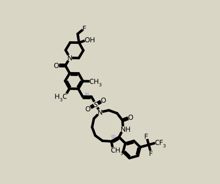 C/C1=C(\c2cccc(C(F)(F)C(F)(F)F)c2)NC(=O)CCN(S(=O)(=O)/C=C/c2c(C)cc(C(=O)N3CCC(O)(CF)CC3)cc2C)CCCC1